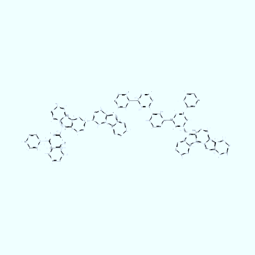 c1ccc(-c2cc(-c3cccc(-c4cccc(-c5cccc(-n6c7ccccc7c7cc(-c8ccc9c(c8)c8ccccc8n9-c8nc(-c9ccccc9)c9ccccc9n8)ccc76)c5)c4)c3)cc(-n3c4ccccc4c4c5oc6ccccc6c5ccc43)c2)cc1